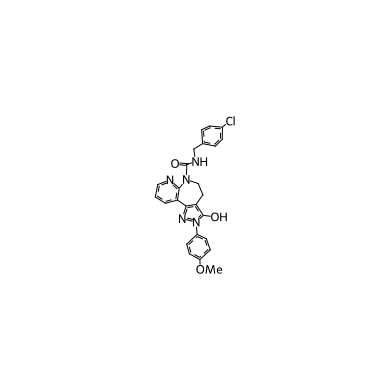 COc1ccc(-n2nc3c(c2O)CCN(C(=O)NCc2ccc(Cl)cc2)c2ncccc2-3)cc1